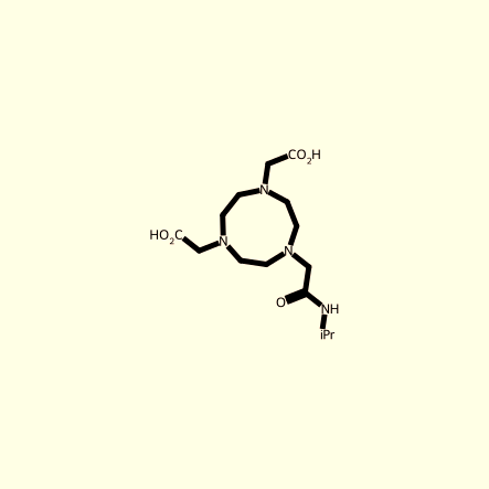 CC(C)NC(=O)CN1CCN(CC(=O)O)CCN(CC(=O)O)CC1